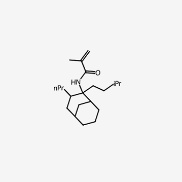 C=C(C)C(=O)NC1(CCC(C)C)C(CCC)CC2CCCC1C2